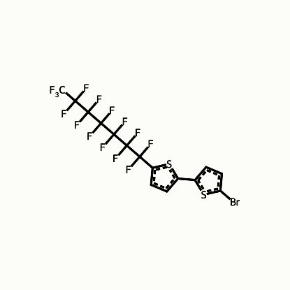 FC(F)(F)C(F)(F)C(F)(F)C(F)(F)C(F)(F)C(F)(F)C(F)(F)c1ccc(-c2ccc(Br)s2)s1